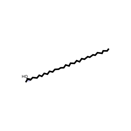 CCCCCCCCCCCCCCCCCCCCCCCCCCCCC/C=C(/C)O